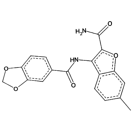 Cc1ccc2c(NC(=O)c3ccc4c(c3)OCO4)c(C(N)=O)oc2c1